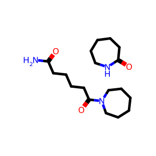 NC(=O)CCCCC(=O)N1CCCCCC1.O=C1CCCCCN1